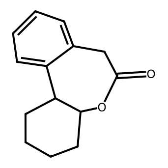 O=C1Cc2ccccc2C2CCCCC2O1